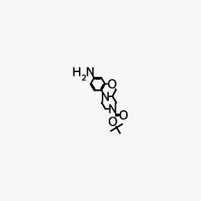 CC(C)(C)OC(=O)N1CCN2c3ccc(N)cc3OCC2C1